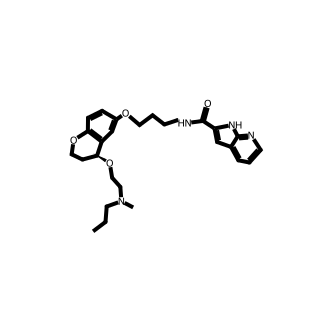 CCCN(C)CCO[C@H]1CCOc2ccc(OCCCCNC(=O)c3cc4cccnc4[nH]3)cc21